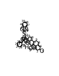 CC12CCC(=O)C=C1CCC1C2[C@@H](O)CC2(C)C1CC[C@]2(OC(=O)c1ccccc1)C(=O)CSc1nc2ccccc2o1